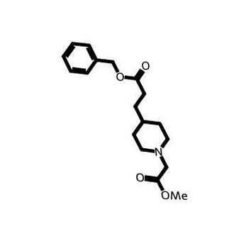 COC(=O)CN1CCC(CCC(=O)OCc2ccccc2)CC1